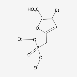 CCOP(=O)(Cc1cc(CC)c(C(=O)O)o1)OCC